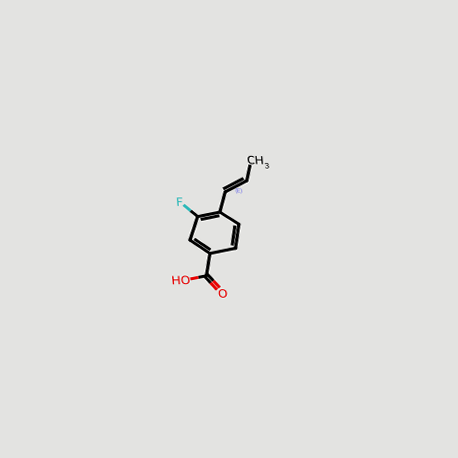 C/C=C/c1ccc(C(=O)O)cc1F